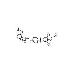 CC(C)(C)OC(=O)N(CC(=O)CNc1ccc(C(C)(C)c2cc(Cl)c(OCCCl)c(Cl)c2)cc1)S(C)(=O)=O